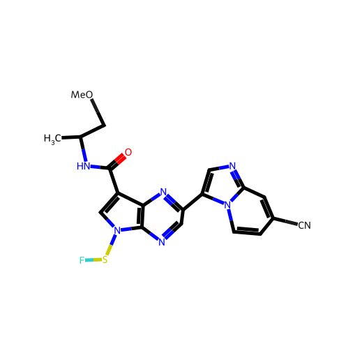 COCC(C)NC(=O)c1cn(SF)c2ncc(-c3cnc4cc(C#N)ccn34)nc12